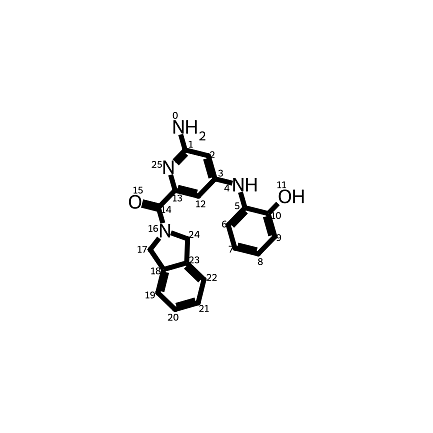 Nc1cc(Nc2ccccc2O)cc(C(=O)N2Cc3ccccc3C2)n1